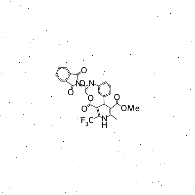 COC(=O)C1=C(C)NC(C(F)(F)F)=C(C(=O)OCCN2C(=O)c3ccccc3C2=O)C1c1cccc([N+](=O)[O-])c1